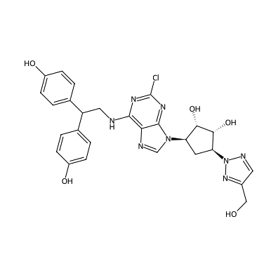 OCc1cnn([C@H]2C[C@@H](n3cnc4c(NCC(c5ccc(O)cc5)c5ccc(O)cc5)nc(Cl)nc43)[C@H](O)[C@@H]2O)n1